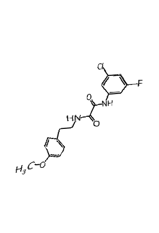 COc1ccc(CCNC(=O)C(=O)Nc2cc(F)cc(Cl)c2)cc1